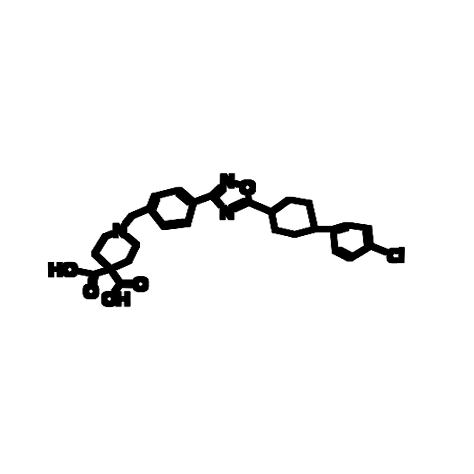 O=C(O)C1(C(=O)O)CCN(Cc2ccc(-c3noc(C4CCC(c5ccc(Cl)cc5)CC4)n3)cc2)CC1